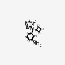 Cn1cnnc1[C@@H](c1cccc(N)c1)C1CCC1